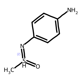 C/[SH](=O)=N/c1ccc(N)cc1